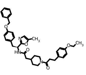 CCOc1ccc(CCC(=O)N2CCC(CC(=O)N[C@@H](Cc3ccc(OCc4ccccc4)cc3)c3ncc(C)o3)CC2)cc1